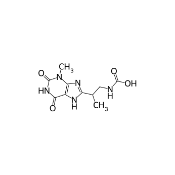 CC(CNC(=O)O)c1nc2c([nH]1)c(=O)[nH]c(=O)n2C